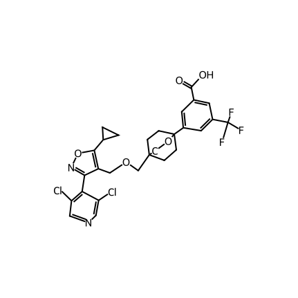 O=C(O)c1cc(C(F)(F)F)cc(C23CCC(COCc4c(-c5c(Cl)cncc5Cl)noc4C4CC4)(CC2)CO3)c1